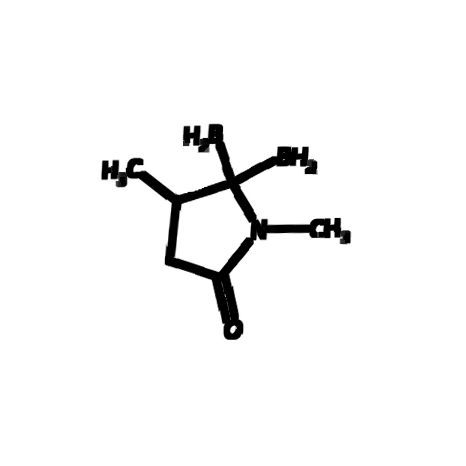 BC1(B)C(C)CC(=O)N1C